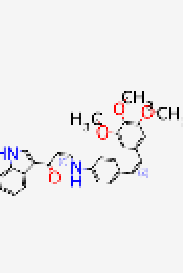 COc1cc(/C=C\c2ccc(N/C=C\C(=O)c3c[nH]c4ccccc34)cc2)cc(OC)c1OC